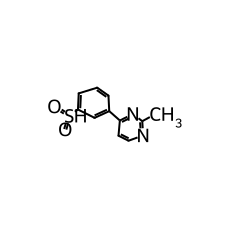 Cc1nccc(-c2cccc([SH](=O)=O)c2)n1